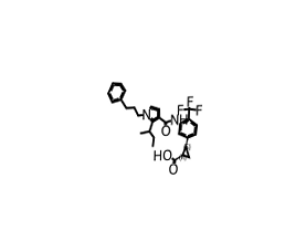 CCC(C)c1c(C(=O)Nc2cc([C@H]3C[C@H]3C(=O)O)ccc2C(F)(F)F)ccn1CCCc1ccccc1